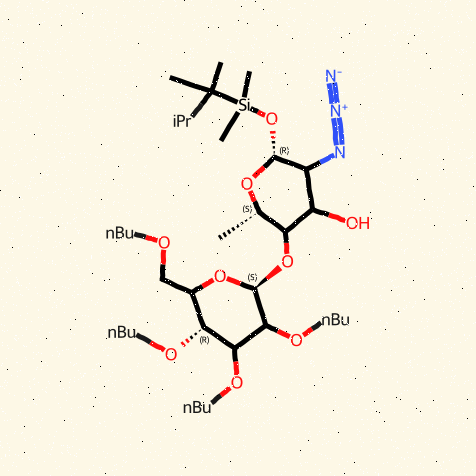 CCCCOCC1O[C@@H](OC2C(O)C(N=[N+]=[N-])[C@@H](O[Si](C)(C)C(C)(C)C(C)C)O[C@H]2C)C(OCCCC)C(OCCCC)[C@@H]1OCCCC